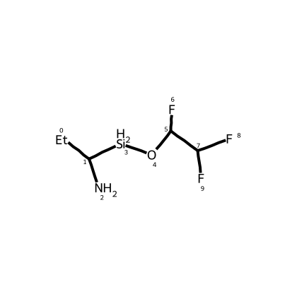 CCC(N)[SiH2]OC(F)C(F)F